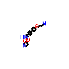 CC(C)(NC(=O)OC1CN2CCC1CC2)c1ccc(-c2ccc(OCCCC#N)cc2)cc1